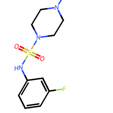 C[C](C)CN1CCN(S(=O)(=O)Nc2cccc(F)c2)CC1